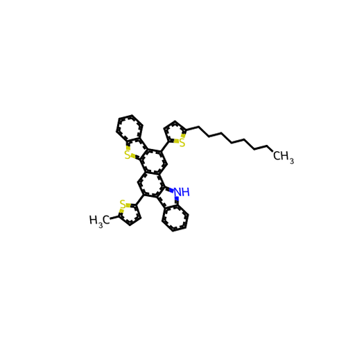 CCCCCCCCc1ccc(-c2cc3c(cc(-c4ccc(C)s4)c4c5ccccc5[nH]c34)c3sc4ccccc4c23)s1